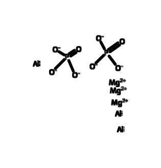 O=P([O-])([O-])[O-].O=P([O-])([O-])[O-].[Al].[Al].[Al].[Mg+2].[Mg+2].[Mg+2]